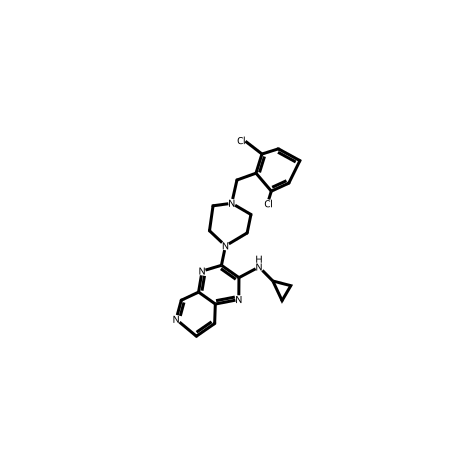 Clc1cccc(Cl)c1CN1CCN(c2nc3cnccc3nc2NC2CC2)CC1